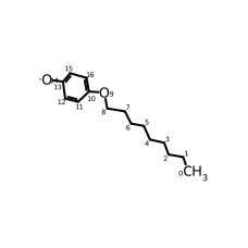 CCCCCCCCCOc1ccc([O])cc1